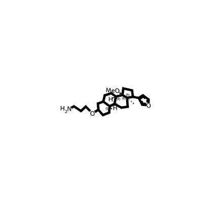 CO[C@@]12CCC(c3ccoc3)[C@@]1(C)CC[C@@H]1[C@H]2CCC2CC(OCCCN)CC[C@@]21C